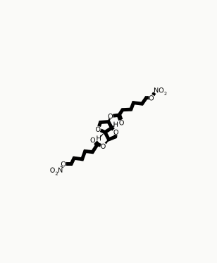 O=C(CCCCCO[N+](=O)[O-])O[C@@H]1CO[C@H]2[C@@H]1OC[C@H]2OC(=O)CCCCCO[N+](=O)[O-]